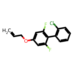 C=CCOc1cc(F)c(-c2[c]cccc2Cl)c(F)c1